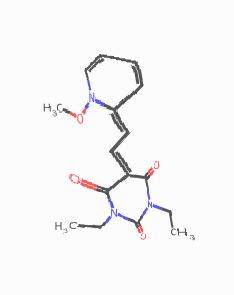 CCN1C(=O)C(=CC=C2C=CC=CN2OC)C(=O)N(CC)C1=O